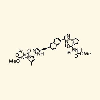 COC(=O)N[C@H](C(=O)N1CC(C)=C[C@H]1c1ncc(C#Cc2ccc3cc(-c4cnc([C@@H]5CCCN5C(=O)[C@@H](NC(=O)OC)C(C)C)[nH]4)ccc3c2)[nH]1)C(C)C